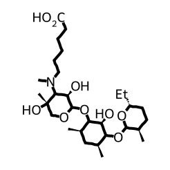 CC[C@@H]1CC[C@@H](C)C(OC2[C@H](O)C(OC3OC[C@](C)(O)C(N(C)CCCCCC(=O)O)[C@H]3O)[C@H](C)C[C@@H]2C)O1